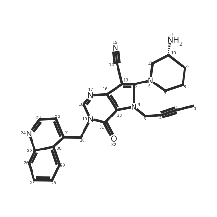 CC#CCn1c(N2CCC[C@@H](N)C2)c(C#N)c2ncn(Cc3ccnc4ccccc34)c(=O)c21